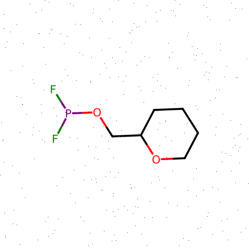 FP(F)OCC1CCCCO1